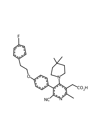 Cc1nc(C#N)c(-c2ccc(OCCc3ccc(F)cc3)cc2)c(N2CCC(C)(C)CC2)c1CC(=O)O